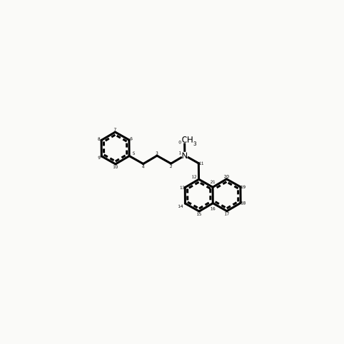 CN(CCCc1ccccc1)Cc1cccc2ccccc12